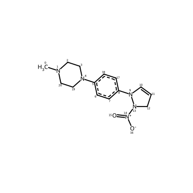 CN1CCN(c2ccc(N3C=CCN3[N+](=O)[O-])cc2)CC1